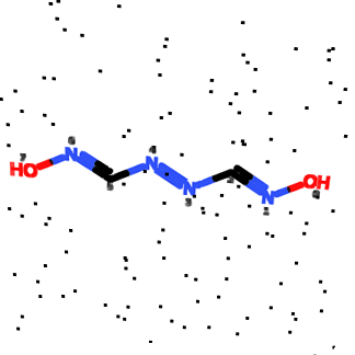 ON=CN=NC=NO